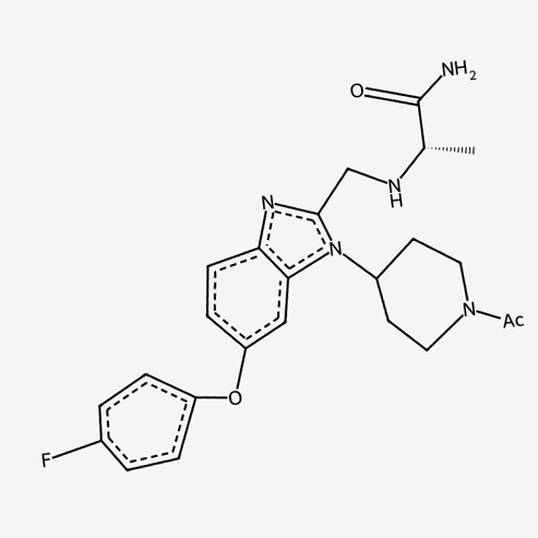 CC(=O)N1CCC(n2c(CN[C@@H](C)C(N)=O)nc3ccc(Oc4ccc(F)cc4)cc32)CC1